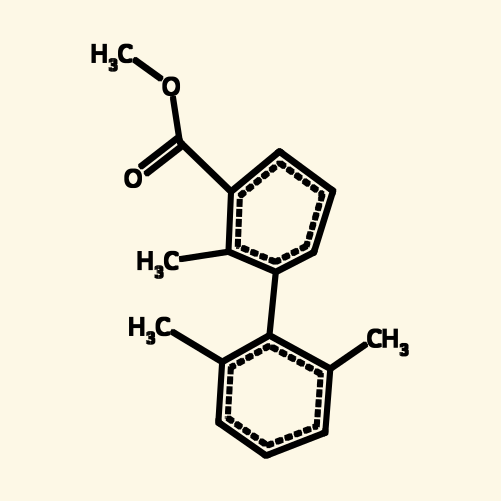 COC(=O)c1cccc(-c2c(C)cccc2C)c1C